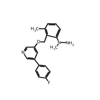 Cc1cccc(N(C)N)c1COc1cncc(-c2ccc(F)cc2)c1